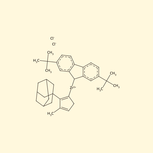 CC1=CC[C]([Zr+2][CH]2c3cc(C(C)(C)C)ccc3-c3ccc(C(C)(C)C)cc32)=C1C12CC3CC(CC(C3)C1)C2.[Cl-].[Cl-]